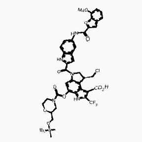 COc1cccc2cc(C(=O)Nc3ccc4[nH]c(C(=O)N5C[C@@H](CCl)c6c5cc(OC(=O)N5CCOC(CO[Si](C)(C)C(C)(C)C)C5)c5[nH]c(C(F)(F)F)c(C(=O)O)c65)cc4c3)oc12